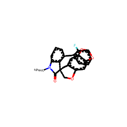 CCCCCN1C(=O)C2(COc3cc4c(cc32)OCO4)c2c(-c3ccccc3F)cccc21